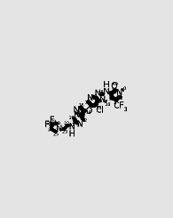 Cn1cc(C(F)(F)F)cc(Nc2nc3ncc(Oc4cnn5cc(NCCN6CCC(F)(F)C6)ncc45)c(Cl)c3n2C)c1=O